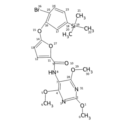 COc1nc(OC)c(NC(=O)c2ccc(Oc3cc([Si](C)(C)C)ccc3Br)o2)c(OC)n1